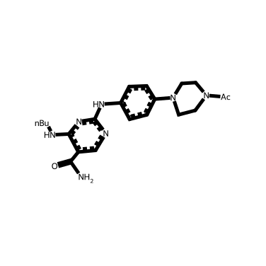 CCCCNc1nc(Nc2ccc(N3CCN(C(C)=O)CC3)cc2)ncc1C(N)=O